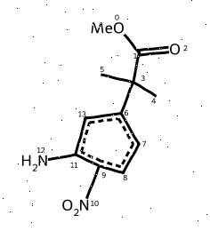 COC(=O)C(C)(C)c1ccc([N+](=O)[O-])c(N)c1